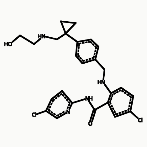 O=C(Nc1ccc(Cl)cn1)c1cc(Cl)ccc1NCc1ccc(C2(CNCCO)CC2)cc1